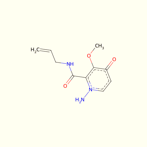 C=CCNC(=O)c1c(OC)c(=O)ccn1N